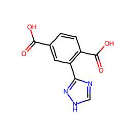 O=C(O)c1ccc(C(=O)O)c(-c2nc[nH]n2)c1